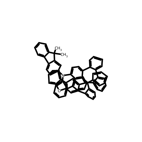 CC1(C)c2ccccc2-c2ccc(N(c3ccc4c(c3)C3(c5ccccc5-c5ccccc5-4)c4ccccc4-c4cc5oc6ccccc6c5cc43)c3ccccc3-c3ccc(-c4ccccc4)cc3)cc21